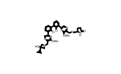 COc1nc(-c2cccc(-c3cccc(-c4cnc(CN5CC(O)(C6CC6)C5)c(OC)n4)c3Cl)c2Cl)cnc1CNCC1CCC(=O)N1